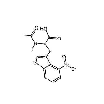 CC(=O)N(I)C(Cc1c[nH]c2cccc([N+](=O)[O-])c12)C(=O)O